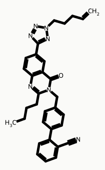 C=CCCCn1nnc(-c2ccc3nc(CCCC)n(Cc4ccc(-c5ccccc5C#N)cc4)c(=O)c3c2)n1